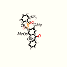 COc1cc(C(=O)c2ccccc2)c(OC)c(OC)c1[PH](=O)C(=O)c1c(C(F)(F)F)cccc1C(F)(F)F